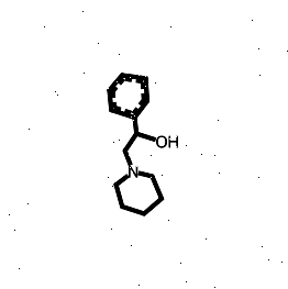 OC(CN1CCCCC1)c1ccccc1